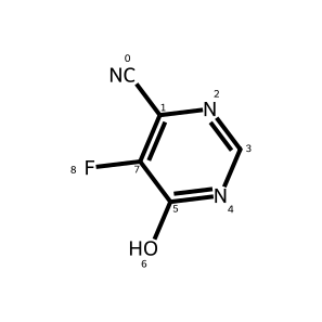 N#Cc1ncnc(O)c1F